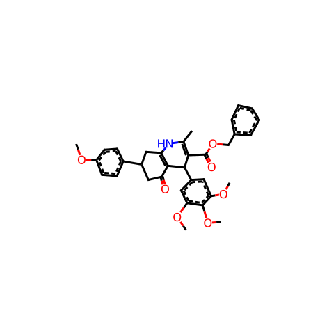 COc1ccc(C2CC(=O)C3=C(C2)NC(C)=C(C(=O)OCc2ccccc2)C3c2cc(OC)c(OC)c(OC)c2)cc1